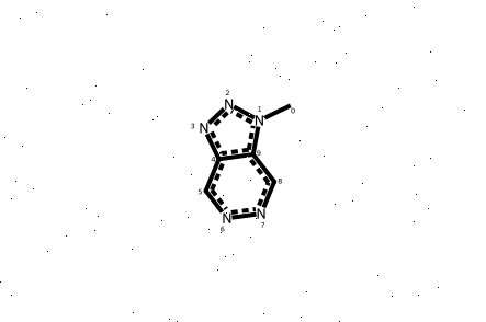 Cn1nnc2cnncc21